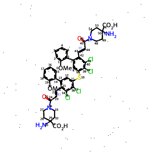 COc1ccccc1-c1cc(Sc2cc(-c3ccccc3OC)c(/C=C/C(=O)N3CCC(N)(C(=O)O)CC3)c(Cl)c2Cl)c(Cl)c(Cl)c1/C=C/C(=O)N1CCC(N)(C(=O)O)CC1